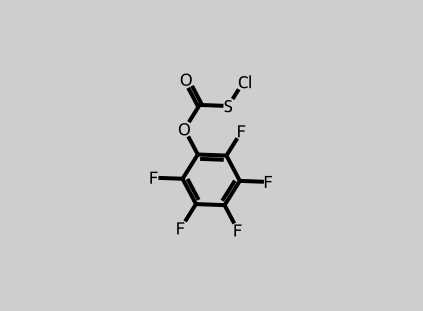 O=C(Oc1c(F)c(F)c(F)c(F)c1F)SCl